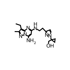 CCc1c(C)nn2c(N)cc(NCCc3ccn(C4(CO)CC4)n3)nc12